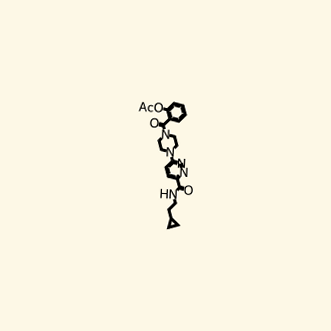 CC(=O)Oc1ccccc1C(=O)N1CCN(c2ccc(C(=O)NCCC3CC3)nn2)CC1